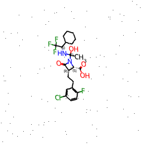 C[C@](O)(N[C@@H](C1CCCCC1)C(F)(F)F)N1C(=O)[C@H](CCc2cc(Cl)ccc2F)[C@H]1C(=O)O